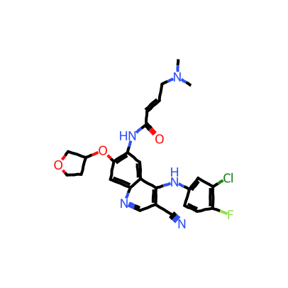 CN(C)CC=CC(=O)Nc1cc2c(Nc3ccc(F)c(Cl)c3)c(C#N)cnc2cc1OC1CCOC1